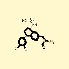 CN[C@H]1CC[C@@H](c2ccc(Cl)c(Cl)c2)c2ccc(CN(C)C=O)cc21.Cl